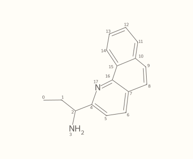 CCC(N)c1ccc2ccc3ccccc3c2n1